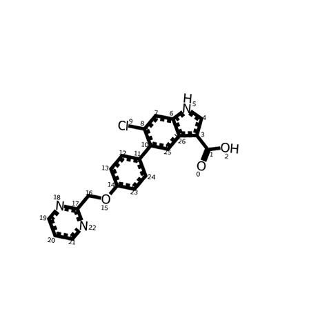 O=C(O)c1c[nH]c2cc(Cl)c(-c3ccc(OCc4ncccn4)cc3)cc12